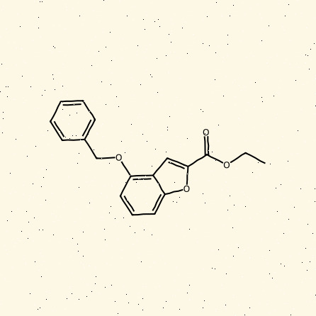 CCOC(=O)c1cc2c(OCc3ccccc3)cccc2o1